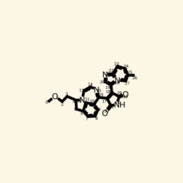 COCCC1Cc2cccc3c2N1C=CN=C3C1=C(c2cnc3ccc(C)cn23)C(=O)NC1=O